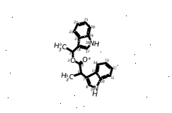 CC(OC(=O)C(C)c1c[nH]c2ccccc12)c1c[nH]c2ccccc12